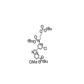 COc1cc2ncc(-c3cc(Cl)nc(N(CCCOC(=O)OC(C)(C)C)C(=O)OC(C)(C)C)c3)n2cc1S(=O)(=O)C(C)(C)C